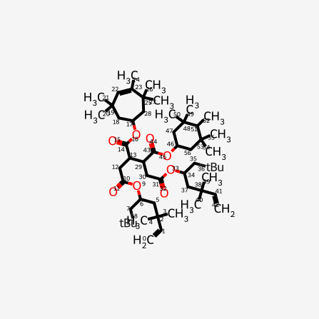 C=CC(C)(C)CC(CC(C)(C)C)OC(=O)CC(C(=O)OC1CC(C)(C)C=C(C)C(C)(C)C1)C(CC(=O)OC(CC(C)(C)C)CC(C)(C)C=C)C(=O)OC1CC(C)(C)C(C)C(C)(C)C1